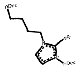 CCCCCCCCCCCCCCn1cc[n+](CCCCCCCCCC)c1CCC